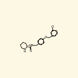 O=C(NCc1ccc(OCc2cccc(Cl)c2)cc1)[C@@H]1CCCCN1